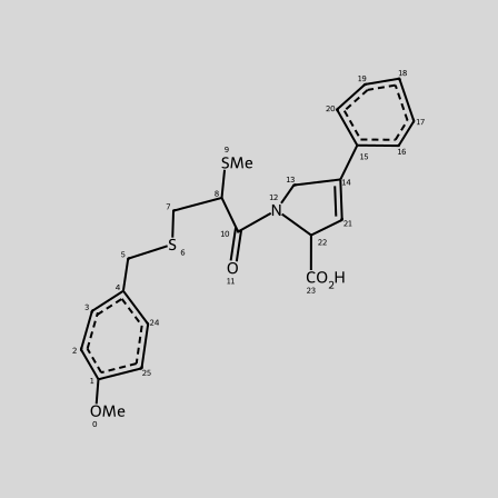 COc1ccc(CSCC(SC)C(=O)N2CC(c3ccccc3)=CC2C(=O)O)cc1